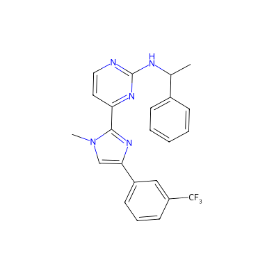 CC(Nc1nccc(-c2nc(-c3cccc(C(F)(F)F)c3)cn2C)n1)c1ccccc1